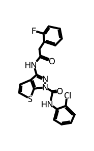 O=C(Cc1ccccc1F)Nc1nn(C(=O)Nc2ccccc2Cl)c2sccc12